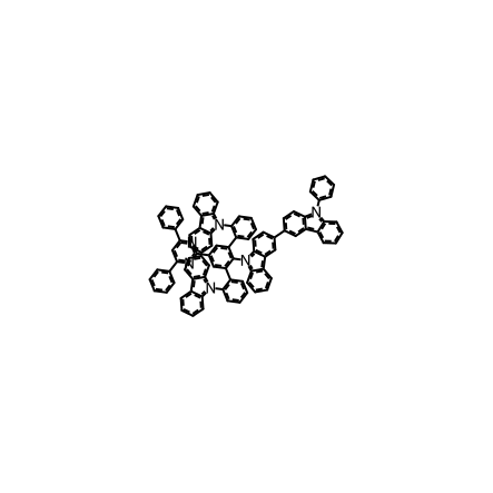 c1ccc(-c2cc(-c3ccccc3)nc(-c3cc(-c4ccccc4-n4c5ccccc5c5ccccc54)c(-n4c5ccccc5c5cc(-c6ccc7c(c6)c6ccccc6n7-c6ccccc6)ccc54)c(-c4ccccc4-n4c5ccccc5c5ccccc54)c3)n2)cc1